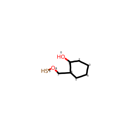 OC1CCCCC1COS